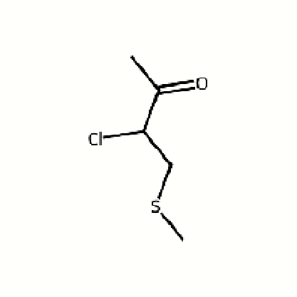 CSCC(Cl)C(C)=O